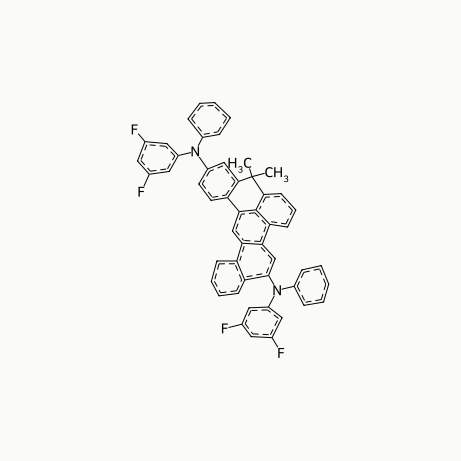 CC1(C)c2cc(N(c3ccccc3)c3cc(F)cc(F)c3)ccc2-c2cc3c4ccccc4c(N(c4ccccc4)c4cc(F)cc(F)c4)cc3c3cccc1c23